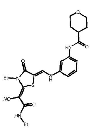 CCNC(=O)C(C#N)=c1sc(=CNc2cccc(NC(=O)C3CCOCC3)c2)c(=O)n1CC